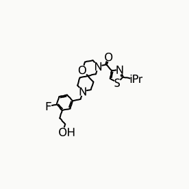 CC(C)c1nc(C(=O)N2CCOC3(CCN(Cc4ccc(F)c(CCO)c4)CC3)C2)cs1